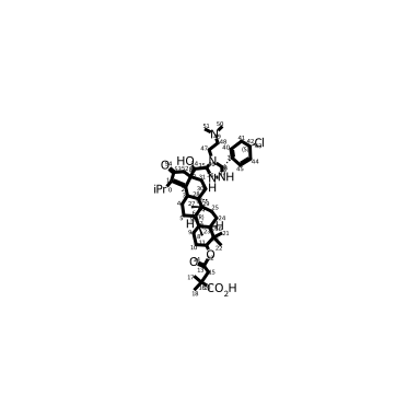 CC(C)C1=C2C3CC[C@@H]4[C@@]5(C)CCC(OC(=O)CC(C)(C)C(=O)O)C(C)(C)[C@@H]5CC[C@@]4(C)[C@]3(C)CCC2([C@@H](O)C2NN[C@@H](C3=CC[C@H](Cl)C=C3)N2CCN(C)C)CC1=O